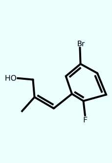 CC(=Cc1cc(Br)ccc1F)CO